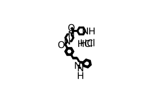 Cl.Cl.O=C(c1ccc(C=Cc2n[nH]c3ccccc23)cc1)N1CCN(C(=O)C2CCNCC2)CC1